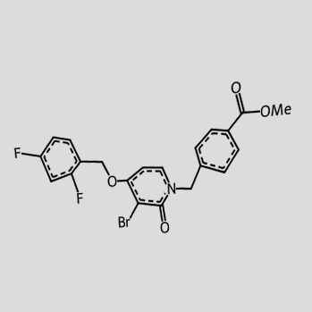 COC(=O)c1ccc(Cn2ccc(OCc3ccc(F)cc3F)c(Br)c2=O)cc1